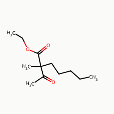 CCCCCC(C)(C(C)=O)C(=O)OCC